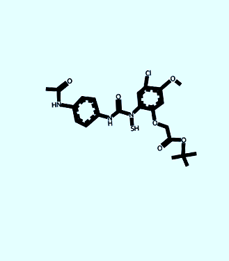 COc1cc(OCC(=O)OC(C)(C)C)c(N(S)C(=O)Nc2ccc(NC(C)=O)cc2)cc1Cl